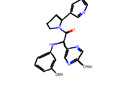 COc1cccc(NC(C(=O)N2CCCC2c2cccnc2)c2cnc(OC)cn2)c1